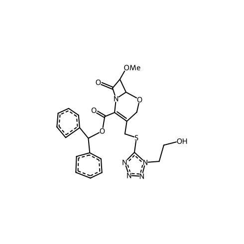 COC1C(=O)N2C(C(=O)OC(c3ccccc3)c3ccccc3)=C(CSc3nnnn3CCO)COC12